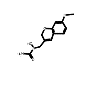 COc1ccc2c(c1)OCC(CN(O)C(N)=O)=C2